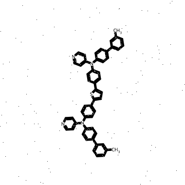 Cc1cccc(-c2ccc(N(c3ccncc3)c3ccc(-c4ccc(-c5ccc(N(c6ccncc6)c6ccc(-c7cccc(C)c7)cc6)cc5)s4)cc3)cc2)c1